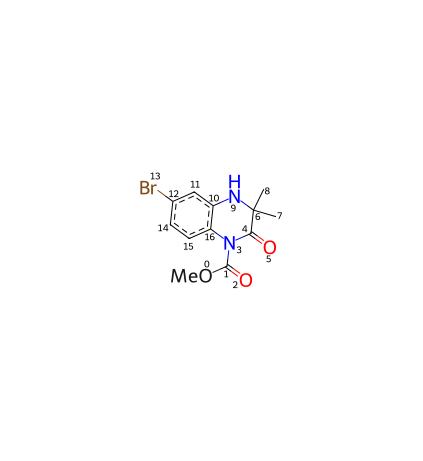 COC(=O)N1C(=O)C(C)(C)Nc2cc(Br)ccc21